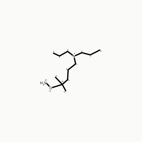 CCCN(CCC)CCCC(C)(C)O[SiH3]